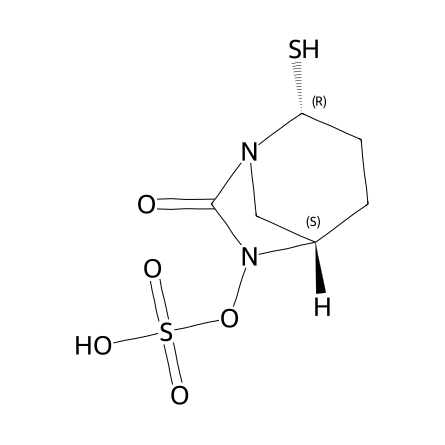 O=C1N2C[C@H](CC[C@H]2S)N1OS(=O)(=O)O